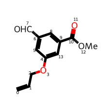 C=CCOc1cc(C=O)cc(C(=O)OC)c1